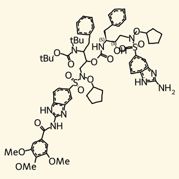 COc1cc(C(=O)Nc2nc3cc(S(=O)(=O)N(CC(OC(=O)N[C@@H](Cc4ccccc4)[C@@H](O)CN(OC4CCCC4)S(=O)(=O)c4ccc5[nH]c(N)nc5c4)C(Cc4ccccc4)N(C(=O)OC(C)(C)C)C(C)(C)C)OC4CCCC4)ccc3[nH]2)cc(OC)c1OC